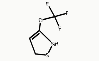 FC(F)(F)OC1=C[CH]SN1